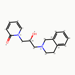 O=c1ccccn1C[C@@H](O)CN1CCc2ccccc2C1